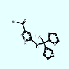 CC(Nc1cc(C(=O)O)n[nH]1)(c1ccsc1)c1cccs1